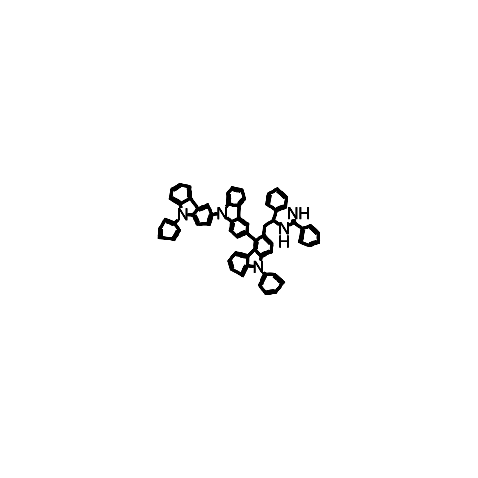 N=C(NC(Cc1ccc2c(c1-c1ccc3c(c1)c1ccccc1n3-c1ccc3c(c1)c1ccccc1n3-c1ccccc1)c1ccccc1n2-c1ccccc1)c1ccccc1)c1ccccc1